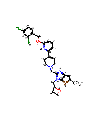 O=C(O)c1cc2nc(CN3CC=C(c4cccc(OCc5ccc(Cl)cc5F)n4)CC3)n(CC3CCO3)c2s1